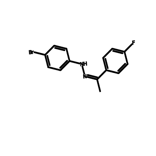 CC(=NNc1ccc(Br)cc1)c1ccc(F)cc1